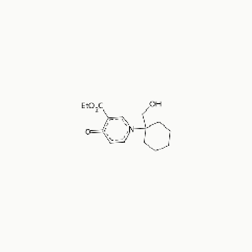 CCOC(=O)c1cn(C2(CO)CCCCC2)ccc1=O